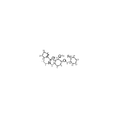 [CH2]CN(Cc1ccc(OCc2ccccc2F)c(OC)c1)C(=O)c1cccs1